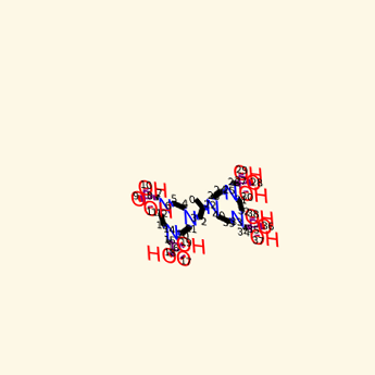 CC(CN1CCN(CP(=O)(O)O)CCN(CP(=O)(O)O)CC1)N1CCN(CP(=O)(O)O)CCN(CP(=O)(O)O)CC1